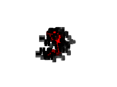 C=Cc1c(C)c2cc3nc(c4c5[n-]c(cc6nc(cc1[n-]2)C(C=O)=C6CC)c(C)c5C(=O)[C@@H]4C(=O)OC)[C@@H](CCC(=O)OC/C=C(\C)CCC[C@H](C)CCC[C@H](C)CCCC(C)C)[C@@H]3C.[Mg+2]